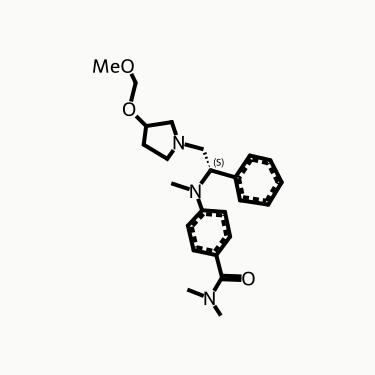 COCOC1CCN(C[C@H](c2ccccc2)N(C)c2ccc(C(=O)N(C)C)cc2)C1